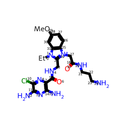 CCn1c(CNC(=O)c2nc(Cl)c(N)nc2N)[n+](CC(=O)NCCCN)c2ccc(OC)cc21